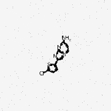 Nc1ccn2cc(-c3ccc(Cl)s3)nc2n1